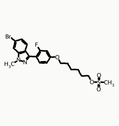 Cn1nc(-c2ccc(OCCCCCCOS(C)(=O)=O)cc2F)c2ccc(Br)cc21